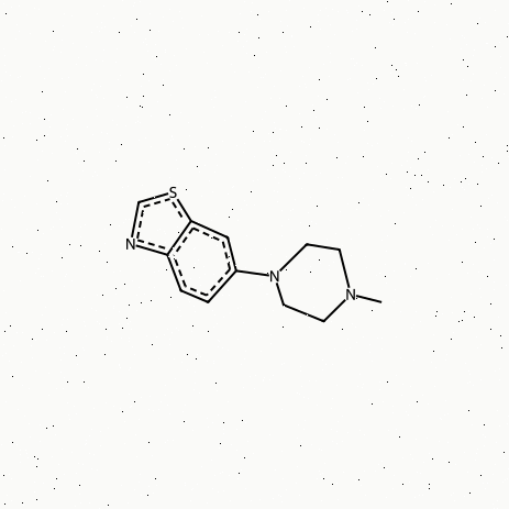 CN1CCN(c2ccc3ncsc3c2)CC1